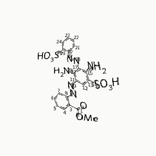 COC(=O)c1ccccc1/N=N/c1cc(S(=O)(=O)O)c(N)c(/N=N/c2ccccc2S(=O)(=O)O)c1N